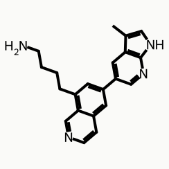 Cc1c[nH]c2ncc(-c3cc(CCCCN)c4cnccc4c3)cc12